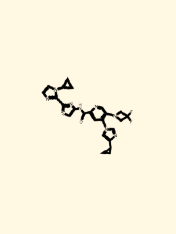 O=C(Nc1csc(-c2nccn2C2CC2)n1)c1cc(-n2cnc(C3CC3)c2)c(N2CC(F)(F)C2)cn1